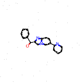 O=C(c1ccccc1)c1cn2cc(-c3ccccn3)ccc2n1